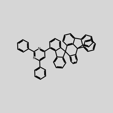 c1ccc(-c2cc(-c3cccc4c3-c3ccccc3C43c4ccccc4C4(c5ccccc5)c5ccccc5-c5cccc3c54)nc(-c3ccccc3)n2)cc1